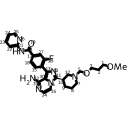 COCCCOCN1CCC[C@@H](c2nc(-c3ccc(C(=O)Nc4ccccn4)cc3F)c3c(N)nccn23)C1